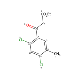 CCOC(=O)CC(=O)c1cc(C)c(Cl)cc1Cl